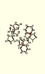 C1=CC[C]([Ti]([CH2]c2ccccc2)([CH2]c2ccccc2)[C]2=CC=CC2)=C1.C[CH2][Ti]([CH2]C)([C]1=CC=CC1)[C]1=CC=CC1